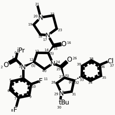 CC(C)C(=O)N(c1ccc(F)cc1F)[C@H]1C[C@@H](C(=O)N2CCN(C)CC2)N(C(=O)[C@@H]2CN(C(C)(C)C)C[C@H]2c2ccc(Cl)cc2)C1